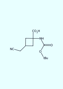 CC(C)(C)OC(=O)NC1(C(=O)O)CC(CC#N)C1